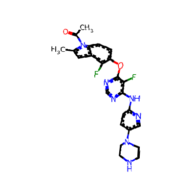 CC(=O)n1c(C)cc2c(F)c(Oc3ncnc(Nc4ccc(N5CCNCC5)cn4)c3F)ccc21